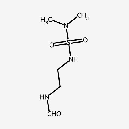 CN(C)S(=O)(=O)NCCN[C]=O